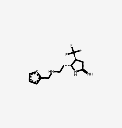 N=C1C[C@H](C(F)(F)F)[C@@H](CCNCc2cccs2)N1